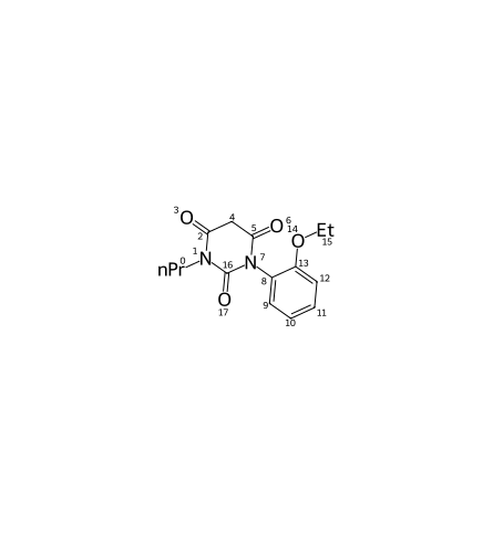 CCCN1C(=O)CC(=O)N(c2ccccc2OCC)C1=O